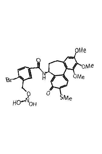 COc1cc2c(c(OC)c1OC)-c1ccc(SC)c(=O)cc1[C@@H](NC(=O)c1ccc(Br)c(CON(O)O)c1)CC2